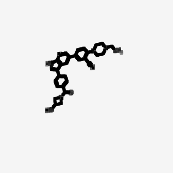 CCN1CCN(c2ccc(-c3cnc4[nH]cc(-c5ccc(C(=O)N6CC(O)C6)cc5)c4c3)cc2C#N)CC1